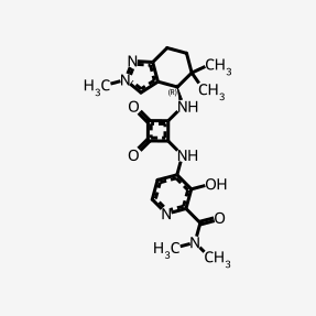 CN(C)C(=O)c1nccc(Nc2c(N[C@H]3c4cn(C)nc4CCC3(C)C)c(=O)c2=O)c1O